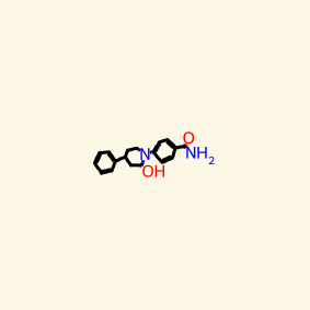 NC(=O)c1ccc(N2CCC(c3ccccc3)CC2O)cc1